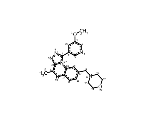 COc1cncc(-c2nnc3c(C)nc4ccc(CN5CCOCC5)cc4n23)c1